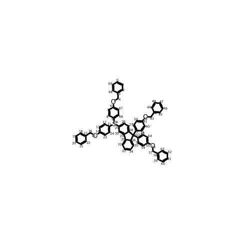 c1ccc(COc2ccc([S+](c3ccc(OCc4ccccc4)cc3)c3ccc4c(c3)-c3ccccc3C4(c3ccc(OCc4ccccc4)cc3)c3ccc(OCc4ccccc4)cc3)cc2)cc1